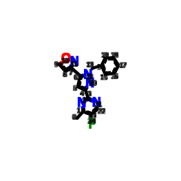 Cc1nc(-c2cc(-c3ccon3)n(Cc3ccccc3)n2)ncc1F